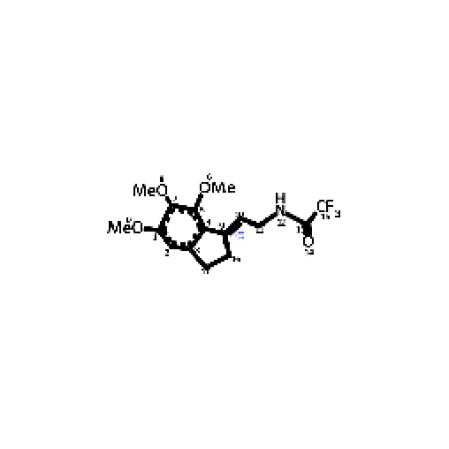 COc1cc2c(c(OC)c1OC)/C(=C/CNC(=O)C(F)(F)F)CC2